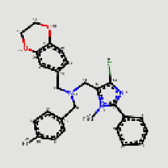 CCCCn1c(-c2ccccc2)nc(Cl)c1CN(Cc1ccc(CC)cc1)Cc1ccc2c(c1)OCCO2